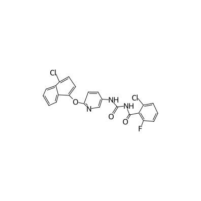 O=C(NC(=O)c1c(F)cccc1Cl)Nc1ccc(Oc2ccc(Cl)c3ccccc23)nc1